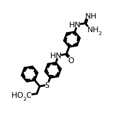 N=C(N)Nc1ccc(C(=O)Nc2ccc(SC(CC(=O)O)c3ccccc3)cc2)cc1